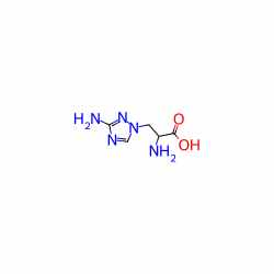 Nc1ncn(CC(N)C(=O)O)n1